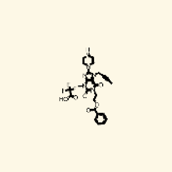 CC#CCn1c(N2CCNCC2)nc2c1c(=O)n(CCOC(=O)c1ccccc1)c(=O)n2C.O=C(O)C(F)(F)F